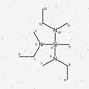 CCN(C)[Si](C)(N(C)CC)N(C)CC